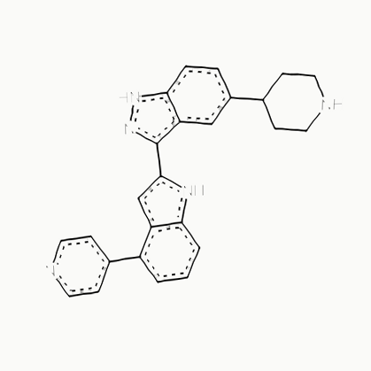 c1cc(-c2ccncc2)c2cc(-c3n[nH]c4ccc(C5CCNCC5)cc34)[nH]c2c1